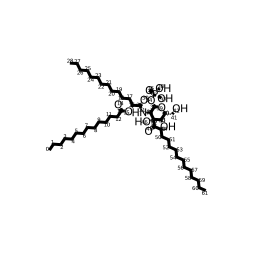 CCCCCCCCCCCCCC(=O)OC(CCCCCCCCCCCC)C(=O)N[C@H]1C(OP(=O)(O)O)O[C@H](CO)[C@@H](O)[C@@]1(O)C(=O)CCCCCCCCCCCCC